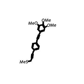 COc1cc(C#Cc2ccc(C#CCSC)cc2)cc(OC)c1OC